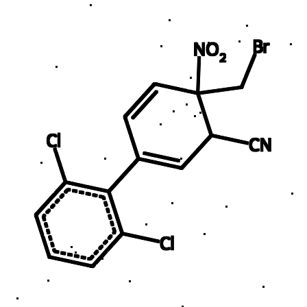 N#CC1C=C(c2c(Cl)cccc2Cl)C=CC1(CBr)[N+](=O)[O-]